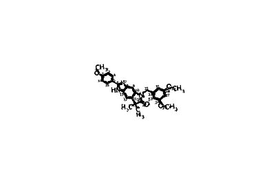 COc1ccc(-c2nc3cc4c(cc3[nH]2)C(C)(C)C(=O)N4Cc2cc(OC)cc(OC)c2)cc1